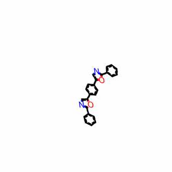 c1ccc(-c2ncc(-c3ccc(-c4cnc(-c5ccccc5)o4)cc3)o2)cc1